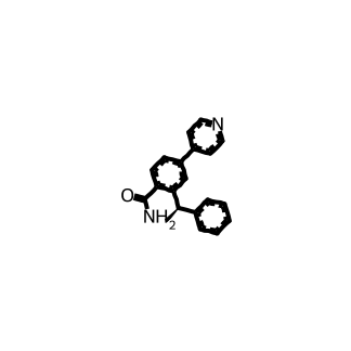 C[C@H](c1ccccc1)c1cc(-c2ccncc2)ccc1C(N)=O